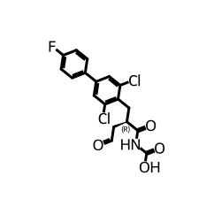 O=CC[C@@H](Cc1c(Cl)cc(-c2ccc(F)cc2)cc1Cl)C(=O)NC(=O)O